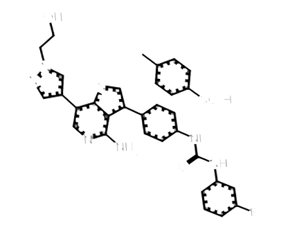 Cc1ccc(S(=O)(=O)O)cc1.Nc1ncc(-c2cnn(CCO)c2)c2scc(-c3ccc(NC(=O)Nc4cccc(F)c4)cc3)c12